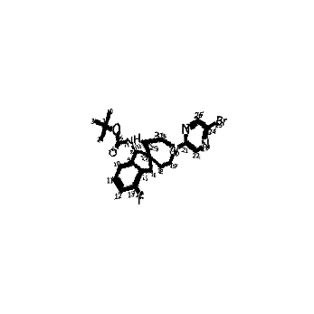 CC(C)(C)OC(=O)N[C@@H]1c2cccc(F)c2CC12CCN(c1cnc(Br)cn1)CC2